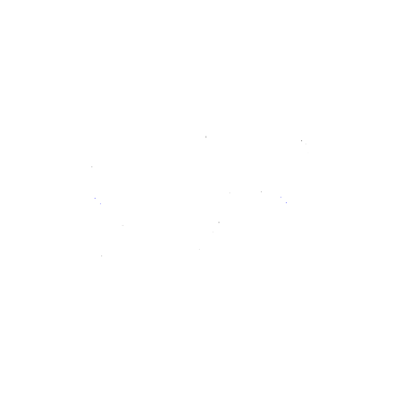 CCC(CC)Nc1c([N+](=O)[O-])cc(C)c(C)c1[N+](=O)[O-].O=C(O)c1c(Cl)ccc2cc(Cl)cnc12